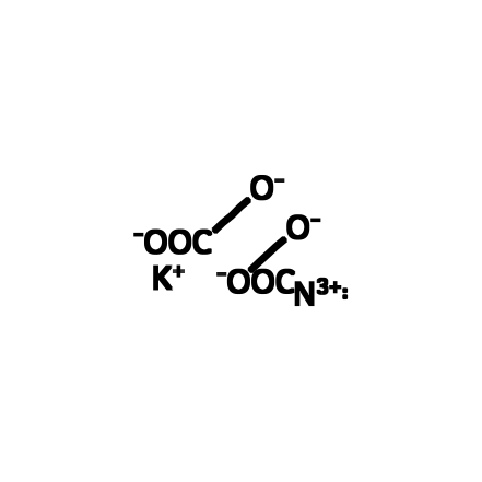 O=C([O-])[O-].O=C([O-])[O-].[K+].[N+3]